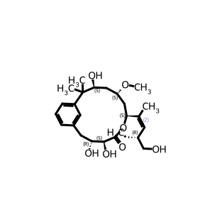 CC[C@H](/C=C(/C)[C@@H]1C[C@@H](OC)C[C@H](O)C(C)(C)c2cccc(c2)C[C@@H](O)[C@H](O)C(=O)O1)CO